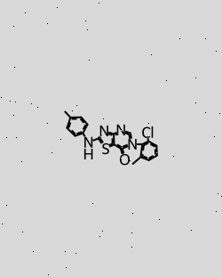 Cc1ccc(Nc2nc3ncn(-c4c(C)cccc4Cl)c(=O)c3s2)cc1